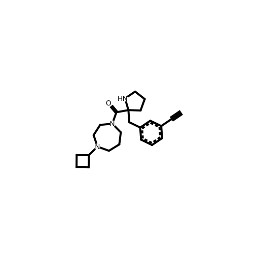 C#Cc1cccc(CC2(C(=O)N3CCCN(C4CCC4)CC3)CCCN2)c1